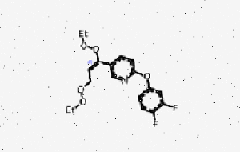 CCOOC/C=C(/OOCC)c1ccc(Oc2ccc(F)c(F)c2)nc1